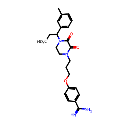 Cc1cccc(C(CC(=O)O)N2CCN(CCCOc3ccc(C(=N)N)cc3)C(=O)C2=O)c1